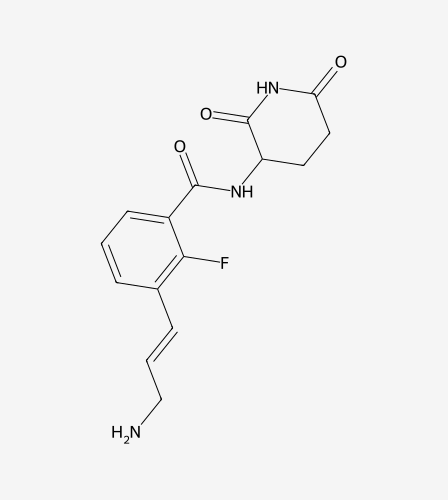 NC/C=C/c1cccc(C(=O)NC2CCC(=O)NC2=O)c1F